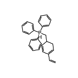 C=CC1=CCC(C[PH](c2ccccc2)(c2ccccc2)c2ccccc2)C=C1